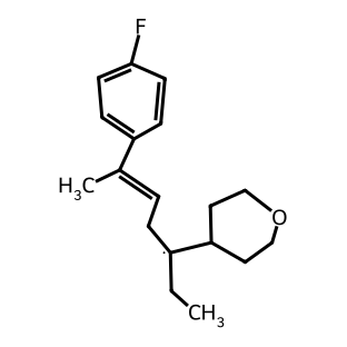 CC[C](CC=C(C)c1ccc(F)cc1)C1CCOCC1